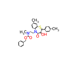 Cc1ccc([C@@H]2Sc3cc(C)ccc3N(CCN(C)C(=O)OCc3ccccc3)C(=O)[C@@H]2O)cc1